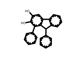 Oc1cc2c(c(-c3ccccc3)c1O)C(c1ccccc1)c1ccccc1-2